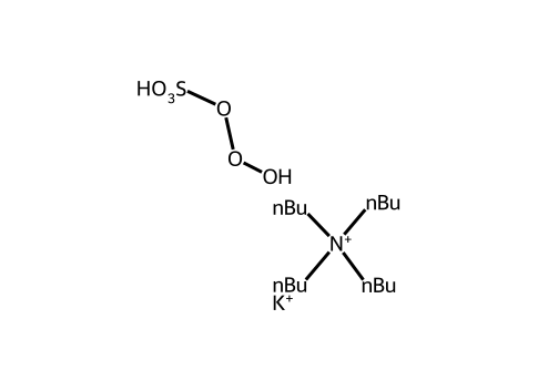 CCCC[N+](CCCC)(CCCC)CCCC.O=S(=O)(O)OOO.[K+]